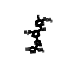 COc1nc(Nc2cc(C)cc(-c3cnc(C(C)(O)CO)s3)c2)ncc1F